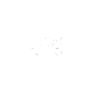 Cl.NC(C=O)N1CCN(C(=O)c2cnccc2C(F)(F)F)CC1